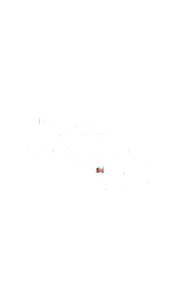 CCN1CC2CCC(C1)C2NC(=O)OC(C)(C)C